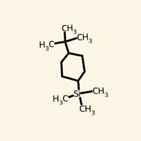 CC(C)(C)C1CCC([Si](C)(C)C)CC1